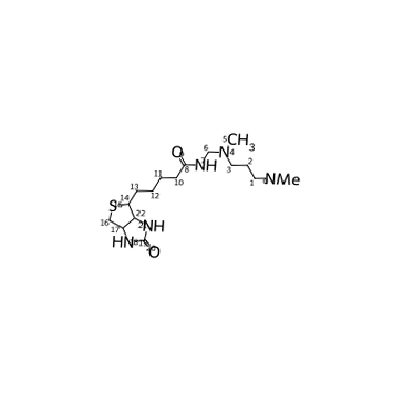 CNCCCN(C)CNC(=O)CCCCC1SCC2NC(=O)NC21